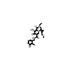 CCN1CC2(CC2COC)n2cc(C(=O)NCc3cccc(Cl)c3F)c(=O)c(O)c2C1=O